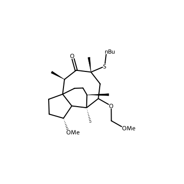 CCCCS[C@]1(C)CC(OCOC)[C@@]2(C)C3[C@H](OC)CCC3(CC[C@H]2C)[C@@H](C)C1=O